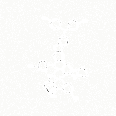 CC(C)(C)c1ccc(N2B3c4oc5ccc(C(C)(C)C)cc5c4N(c4ccc(C(C)(C)C)cc4-c4ccccc4)c4c3c(cc3c4oc4ccccc43)-c3cc4c(cc32)sc2cc(N(c3ccc(C(C)(C)C)cc3)c3ccc(C(C)(C)C)cc3)ccc24)cc1